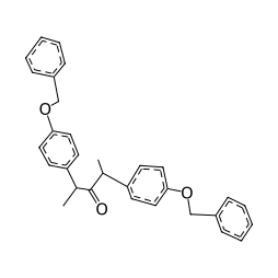 CC(C(=O)C(C)c1ccc(OCc2ccccc2)cc1)c1ccc(OCc2ccccc2)cc1